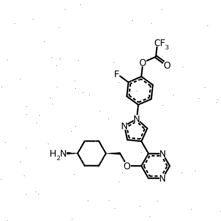 N[C@H]1CC[C@@H](COc2cncnc2-c2cnn(-c3ccc(OC(=O)C(F)(F)F)c(F)c3)c2)CC1